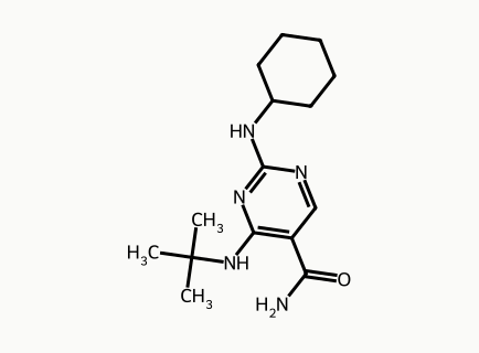 CC(C)(C)Nc1nc(NC2CCCCC2)ncc1C(N)=O